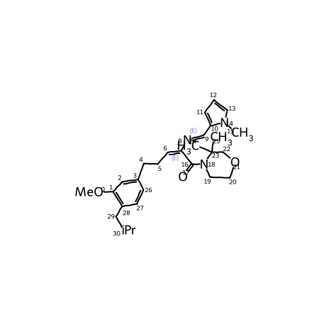 COc1cc(CC/C=C(/N=C/c2cccn2C)C(=O)N2CCOCC2(C)C)ccc1CC(C)C